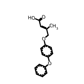 CC(=CC(=O)O)COc1ccc(Oc2ccccc2)cc1